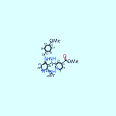 COC(=O)c1ccnc(C2NN(Cc3ccc(OC)cc3)c3ccnc(NC(C)C)c32)c1